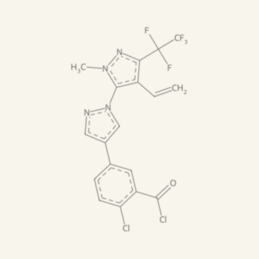 C=Cc1c(C(F)(F)C(F)(F)F)nn(C)c1-n1cc(-c2ccc(Cl)c(C(=O)Cl)c2)cn1